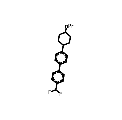 CCCC1CCC(c2ccc(-c3ccc(C(F)F)cc3)cc2)CC1